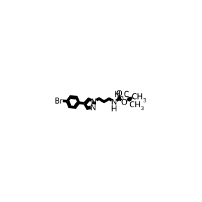 CC(C)(C)OC(=O)NCCCn1cc(-c2ccc(Br)cc2)cn1